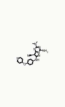 CN(C)c1nc(N)n2nc(Nc3ccc(Oc4ccncc4)cc3)c(C#N)c2n1